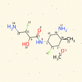 CO[C@@H]1C(F)[C@H](NC(=O)C(O)C(F)CN)C[C@H](N)[C@H]1C